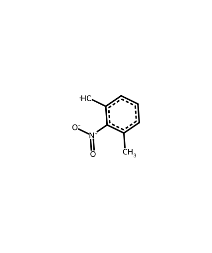 [CH]c1cccc(C)c1[N+](=O)[O-]